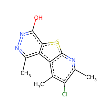 Cc1nc2sc3c(O)nnc(C)c3c2c(C)c1Cl